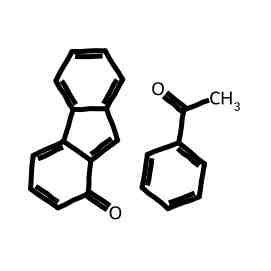 CC(=O)c1ccccc1.O=C1C=CC=C2C1=Cc1ccccc12